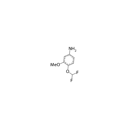 COc1cc(N)ccc1OC(F)F